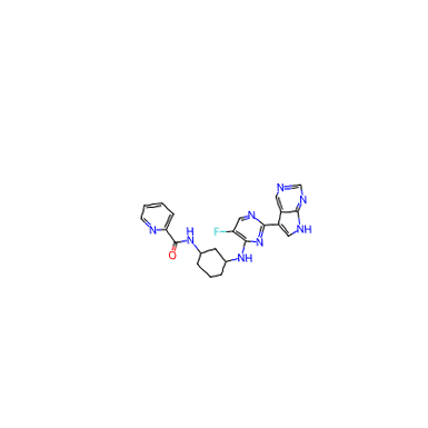 O=C(NC1CCCC(Nc2nc(-c3c[nH]c4ncncc34)ncc2F)C1)c1ccccn1